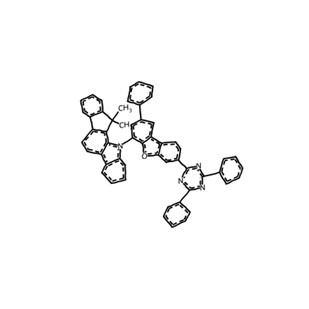 CC1(C)c2ccccc2-c2ccc3c4ccccc4n(-c4cc(-c5ccccc5)cc5c4oc4cc(-c6nc(-c7ccccc7)nc(-c7ccccc7)n6)ccc45)c3c21